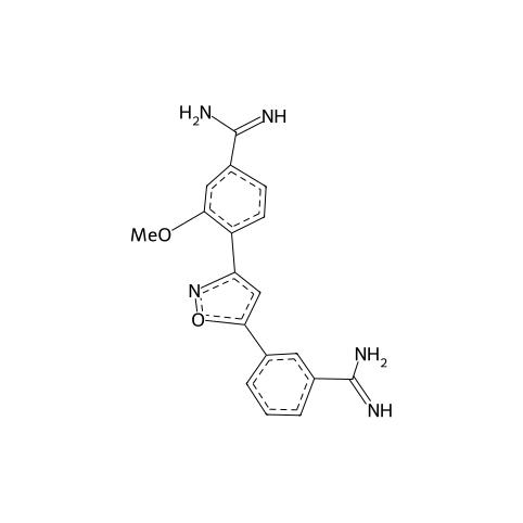 COc1cc(C(=N)N)ccc1-c1cc(-c2cccc(C(=N)N)c2)on1